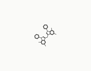 Cc1cc(C)c2c(c1)C(CC1=CC(c3ccccc3)c3c(C)cc(C)cc31)=CC2c1ccccc1